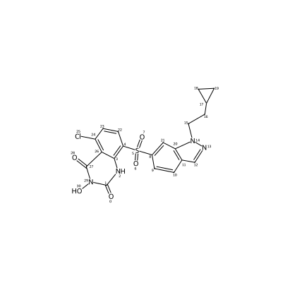 O=c1[nH]c2c(S(=O)(=O)c3ccc4cnn(CCC5CC5)c4c3)ccc(Cl)c2c(=O)n1O